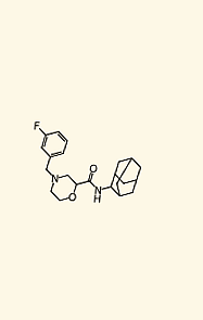 O=C(NC1C2CC3CC(C2)CC1C3)C1CN(Cc2cccc(F)c2)CCO1